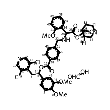 COc1ccc([C@@H](Cc2c(Cl)cncc2Cl)OC(=O)c2ccc(CNC(C(=O)O[C@H]3CN4CCC3CC4)c3ccccc3OC)cc2)cc1OC.O=CO